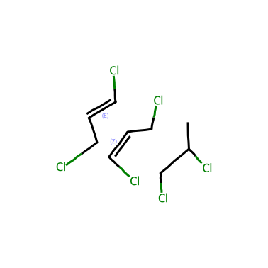 CC(Cl)CCl.Cl/C=C/CCl.Cl/C=C\CCl